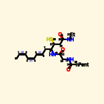 C\C=C/C=C\C=C\CC(NC(=O)CNC(=O)CCCCC)C(S)CC(=O)NCC